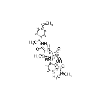 COc1ccc([C@@H](C)NC(=O)[C@H](Nc2c(Nc3cccc(C(=O)N(C)C)c3O)c(=O)c2=O)C(C)C)cc1